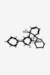 CCC1(C2CCCCC2)C=CC=CC1(O)c1cc(-c2ccccc2)cnc1OC